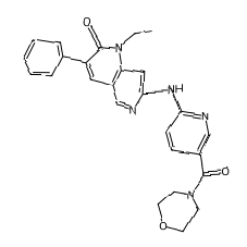 CCn1c(=O)c(-c2ccccc2)cc2cnc(Nc3ccc(C(=O)N4CCOCC4)cn3)cc21